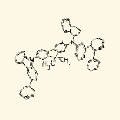 CC1(C)c2cc(N(c3cccc(-c4ccccc4-c4ccccc4)c3)c3cccc4ccccc34)ccc2-c2ccc(-n3c4ccccc4c4cc(-c5ccccc5)ccc43)cc21